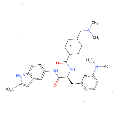 CC(=O)N(C)c1cccc(C[C@H](NC(=O)C2CCC(CN(C)C)CC2)C(=O)Nc2ccc3[nH]c(C(=O)O)cc3c2)c1